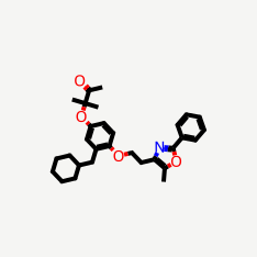 CC(=O)C(C)(C)Oc1ccc(OCCc2nc(-c3ccccc3)oc2C)c(CC2CCCCC2)c1